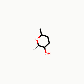 CC1CCC(O)[C@H](C)O1